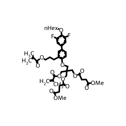 C=C(C)C(=O)OCCCc1cc(-c2cc(F)c(OCCCCCC)c(F)c2)ccc1OCC(COC(=O)CCC(=O)OC)(COC(=O)CCC(=O)OC)COC(=O)C(=C)C